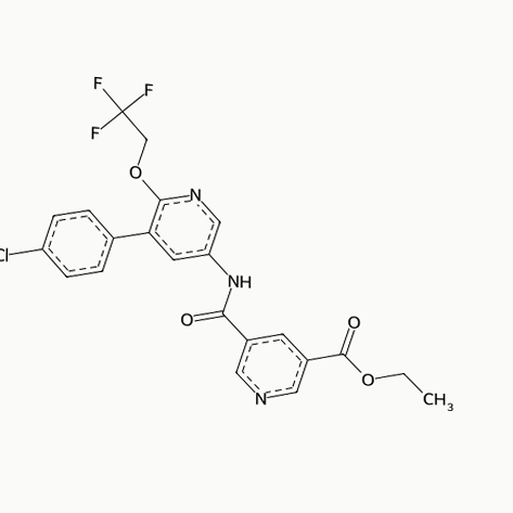 CCOC(=O)c1cncc(C(=O)Nc2cnc(OCC(F)(F)F)c(-c3ccc(Cl)cc3)c2)c1